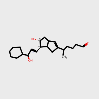 CC(CCCC=O)C1=CC2C[C@@H](O)[C@H](/C=C/C(O)C3CCCCC3)C2C1